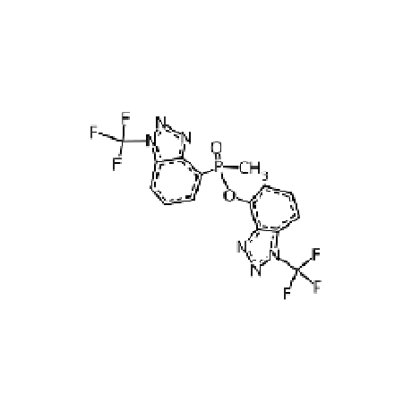 CP(=O)(Oc1cccc2c1nnn2C(F)(F)F)c1cccc2c1nnn2C(F)(F)F